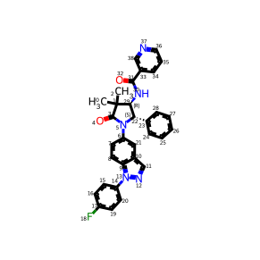 CC1(C)C(=O)N(c2ccc3c(cnn3-c3ccc(F)cc3)c2)[C@@H](c2ccccc2)[C@@H]1NC(=O)c1cccnc1